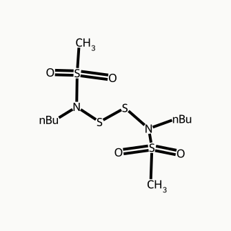 CCCCN(SSN(CCCC)S(C)(=O)=O)S(C)(=O)=O